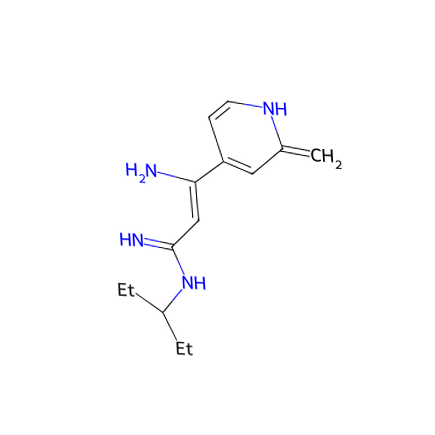 C=C1C=C(/C(N)=C/C(=N)NC(CC)CC)C=CN1